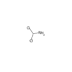 NC(Cl)Cl